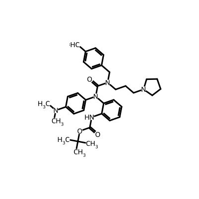 [CH]c1ccc(CN(CCCN2CCCC2)C(=O)N(c2ccc(N(C)C)cc2)c2ccccc2NC(=O)OC(C)(C)C)cc1